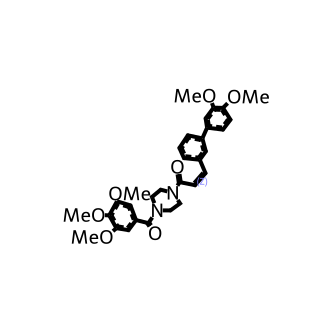 COc1ccc(-c2cccc(/C=C\C(=O)N3CCN(C(=O)c4cc(OC)c(OC)c(OC)c4)CC3)c2)cc1OC